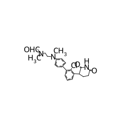 CN(C=O)CCN(C)c1ccc(-c2cccc(C3CCC(=O)NC3=O)c2Cl)cc1